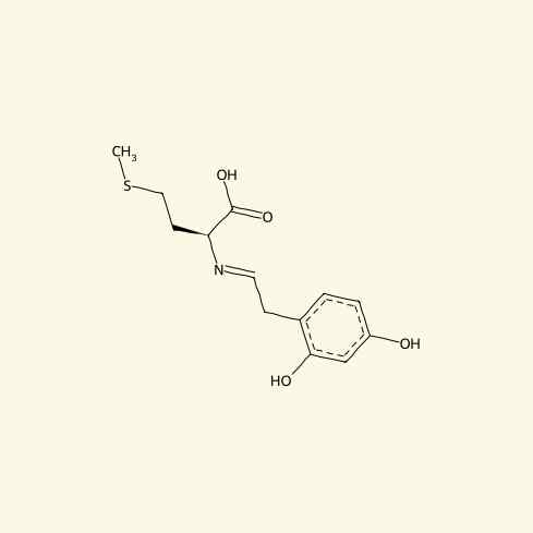 CSCC[C@H](N=CCc1ccc(O)cc1O)C(=O)O